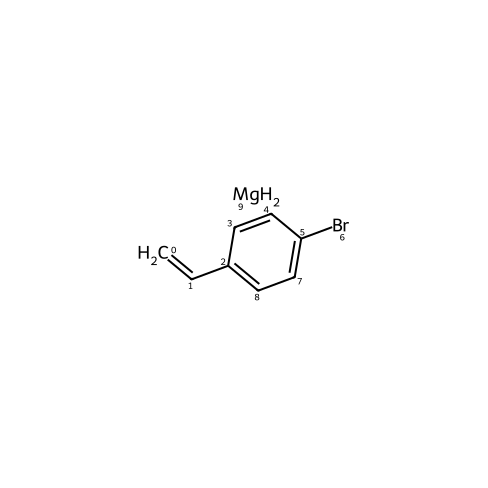 C=Cc1ccc(Br)cc1.[MgH2]